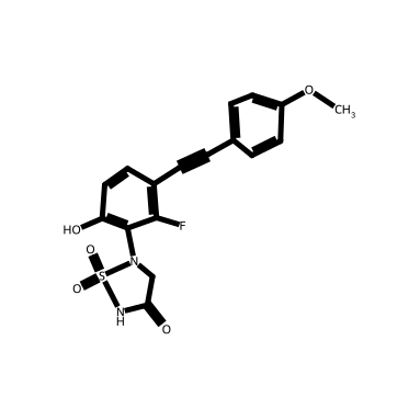 COc1ccc(C#Cc2ccc(O)c(N3CC(=O)NS3(=O)=O)c2F)cc1